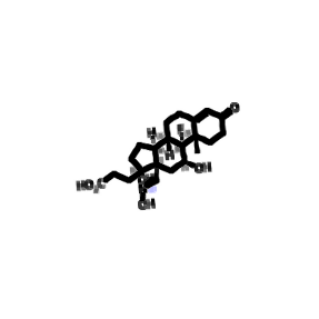 C[C@]12CCC(=O)C=C1CC[C@H]1[C@@H]3CC[C@@](O)(CCC(=O)O)[C@@]3(/C=N/O)C[C@H](O)[C@@]12F